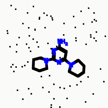 Nc1cc(N2CCCCC2)nc(N2CCCCC2)n1